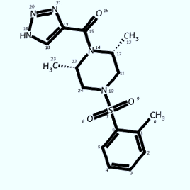 Cc1ccccc1S(=O)(=O)N1C[C@@H](C)N(C(=O)c2c[nH]nn2)[C@@H](C)C1